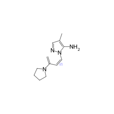 C=C(/C=C\n1ncc(C)c1N)N1CCCC1